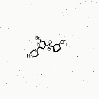 O=S(=O)(c1cccc(C(F)(F)F)c1)c1cc(Br)nc(N2CCNCC2)c1